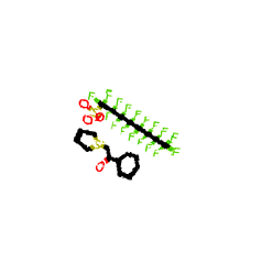 O=C(C[S+]1CCCC1)C1CCCCC1.O=S(=O)([O-])C(F)(F)C(F)(F)C(F)(F)C(F)(F)C(F)(F)C(F)(F)C(F)(F)C(F)(F)F